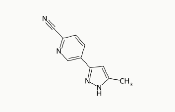 Cc1cc(-c2ccc(C#N)nc2)n[nH]1